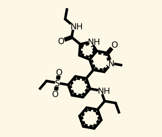 CCNC(=O)c1cc2c(-c3cc(S(=O)(=O)CC)ccc3NC(CC)c3ccccc3)cn(C)c(=O)c2[nH]1